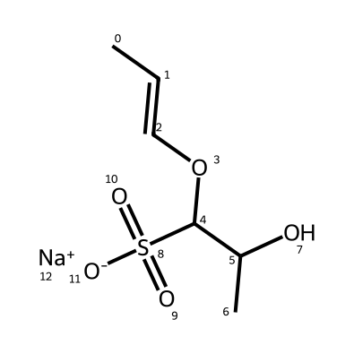 CC=COC(C(C)O)S(=O)(=O)[O-].[Na+]